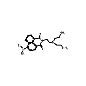 CCN(CC)c1ccc2c3c(cccc13)C(=O)N(CCN(CCN)CCN)C2=O